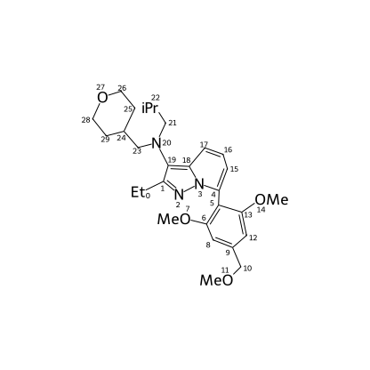 CCc1nn2c(-c3c(OC)cc(COC)cc3OC)cccc2c1N(CC(C)C)CC1CCOCC1